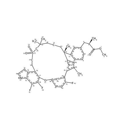 COC(=O)[C@H](C)Cc1cccc([C@@]2(C)CCCC(C)(C)CS(=O)(=O)CCc3c(c(F)c(F)c4[nH]ccc34)Oc3ccc(F)c(c3)-c3nc2nn3C)c1